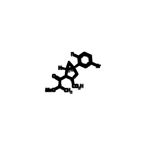 CON(C)C(=O)C1[C@@H]2C[C@]2(c2cc(Br)ccc2F)CN1C(=O)O